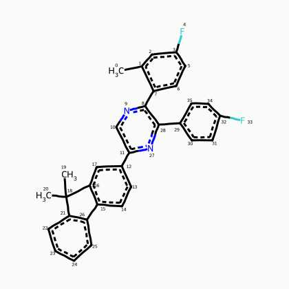 Cc1cc(F)ccc1-c1ncc(-c2ccc3c(c2)C(C)(C)c2ccccc2-3)nc1-c1ccc(F)cc1